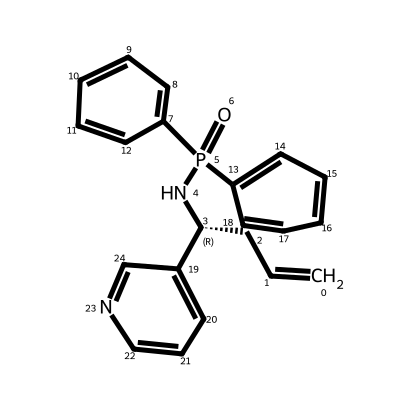 C=CC[C@@H](NP(=O)(c1ccccc1)c1ccccc1)c1cccnc1